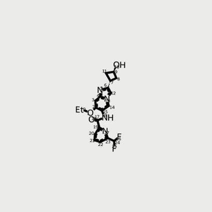 CCOc1cc2nc([C@H]3C[C@H](O)C3)cn2cc1NC(=O)c1cccc(C(F)F)n1